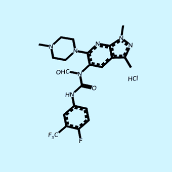 Cc1nn(C)c2nc(N3CCN(C)CC3)c(N(C=O)C(=O)Nc3ccc(F)c(C(F)(F)F)c3)cc12.Cl